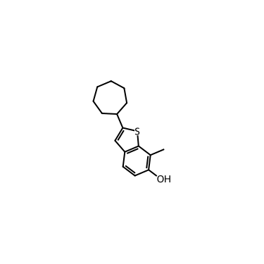 Cc1c(O)ccc2cc(C3CCCCCC3)sc12